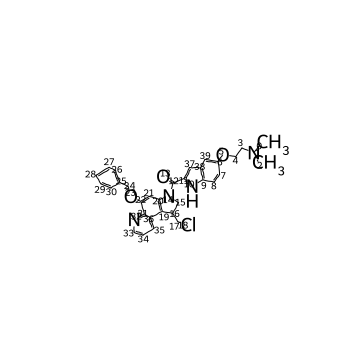 CN(C)CCOc1ccc2[nH]c(C(=O)N3CC(CCl)c4c3cc(OCc3ccccc3)c3ncccc43)cc2c1